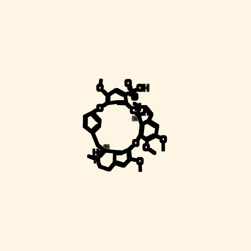 COc1cc(S(=O)(=O)O)c2cc1Oc1ccc(cc1)C[C@H]1c3cc(c(OC)cc3CCN1C)Oc1c(OC)c(OC)cc3c1[C@H](C2)N(C)CC3